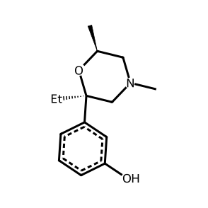 CC[C@@]1(c2cccc(O)c2)CN(C)C[C@H](C)O1